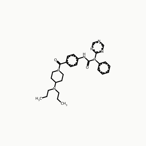 CCCN(CCC)C1CCN(C(=O)c2ccc(NC(=O)N(c3ccccc3)c3ncncn3)cc2)CC1